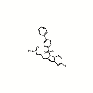 O=C(O)CCCc1cc2nc(Cl)ccc2n1S(=O)(=O)c1ccc(-c2ccccc2)cc1